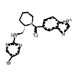 O=C(c1ccc2[nH]cnc2c1)N1CCCC[C@H]1CNc1ncc(Br)cn1